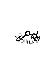 C=Cc1cc(-c2cccc(C#C[C@]3(O)CCN(C)C3=O)c2)nc2c(N)ncnc12